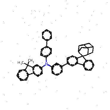 CC1(C)c2ccccc2-c2ccc(N(c3ccc(-c4ccccc4)cc3)c3cccc(-c4ccc5c(c4)-c4ccccc4C54C5CC6CC(C5)CC4C6)c3)cc21